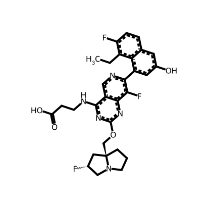 CCc1c(F)ccc2cc(O)cc(-c3ncc4c(NCCC(=O)O)nc(OC[C@@]56CCCN5C[C@H](F)C6)nc4c3F)c12